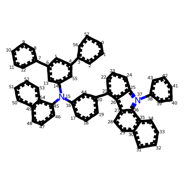 c1ccc(-c2cc(-c3ccccc3)cc(N(c3cccc(-c4cccc5c4c4ccc6ccccc6c4n5-c4ccccc4)c3)c3cccc4ccccc34)c2)cc1